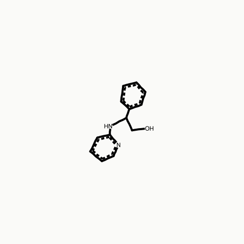 OCC(Nc1ccccn1)c1ccccc1